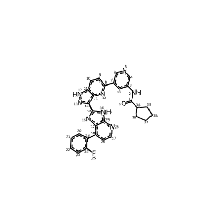 O=C(Nc1cncc(-c2ccc3[nH]nc(-c4nc5c(-c6ccccc6F)ccnc5[nH]4)c3n2)c1)C1CCCC1